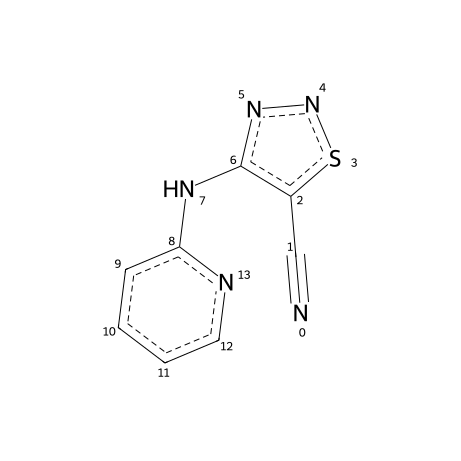 N#Cc1snnc1Nc1ccccn1